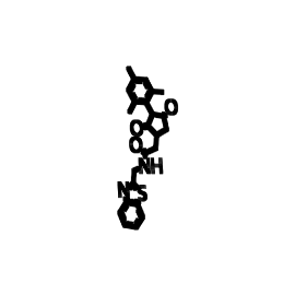 Cc1cc(C)c(C2C(=O)CC(CC(=O)NCc3nc4ccccc4s3)C2=O)c(C)c1